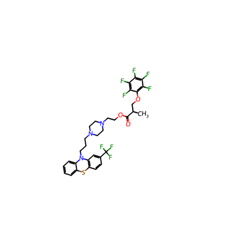 CC(COc1c(F)c(F)c(F)c(F)c1F)C(=O)OCCN1CCN(CCCN2c3ccccc3Sc3ccc(C(F)(F)F)cc32)CC1